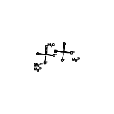 O.O=P([O-])([O-])[O-].O=P([O-])([O-])[O-].[Mg+2].[Mg+2].[Mg+2]